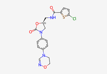 O=C(NC[C@H]1CN(c2ccc(N3C=NOCC3)cc2)C(=O)O1)c1ccc(Cl)s1